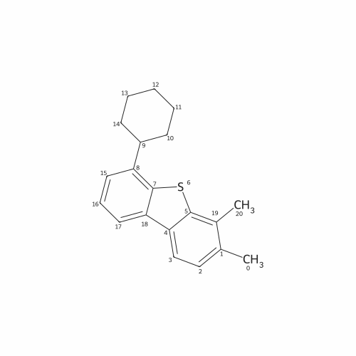 Cc1ccc2c(sc3c(C4CCCCC4)cccc32)c1C